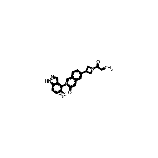 C=CC(=O)N1CC(c2ccc3cn(-c4c(C)ccc5[nH]ncc45)c(=O)cc3c2)C1